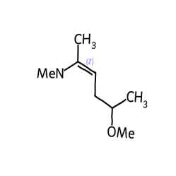 CN/C(C)=C\CC(C)OC